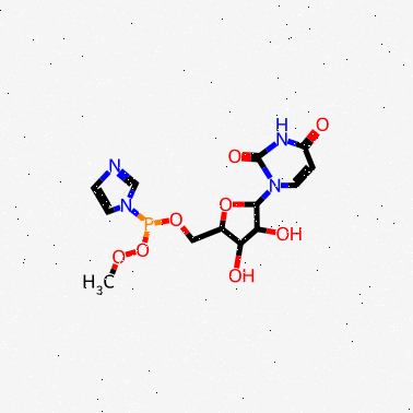 COOP(OCC1OC(n2ccc(=O)[nH]c2=O)C(O)C1O)n1ccnc1